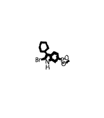 Brc1[nH]c2cc(P3OCO3)ccc2c1C1CCCCC1